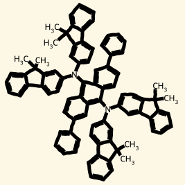 CC1(C)c2ccccc2-c2cc(N(c3ccc4c(c3)C(C)(C)c3ccccc3-4)c3c4ccc(-c5ccccc5)cc4c(N(c4ccc5c(c4)C(C)(C)c4ccccc4-5)c4ccc5c(c4)C(C)(C)c4ccccc4-5)c4ccc(-c5ccccc5)cc34)ccc21